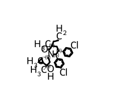 C=CC[C@@]1(C)C[C@H](c2cccc(Cl)c2)[C@@H](c2ccc(Cl)cc2)N([C@@H](CC)C[C@@](C)(O)C2CC2)C1=O